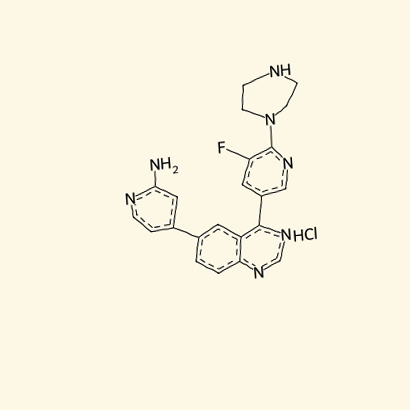 Cl.Nc1cc(-c2ccc3ncnc(-c4cnc(N5CCNCC5)c(F)c4)c3c2)ccn1